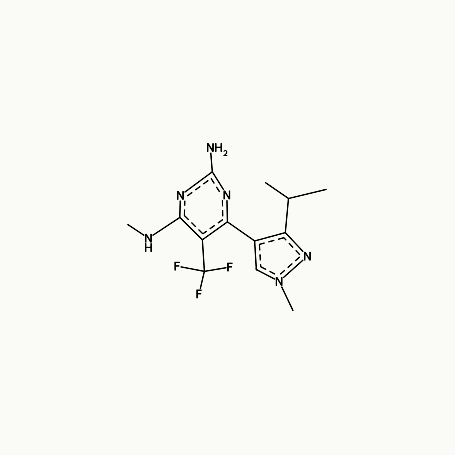 CNc1nc(N)nc(-c2cn(C)nc2C(C)C)c1C(F)(F)F